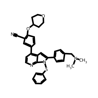 CN(C)Cc1ccc(-c2cc3c(-c4ccc(OC5CCOCC5)c(C#N)c4)ccnc3n2Sc2ccccc2)cc1